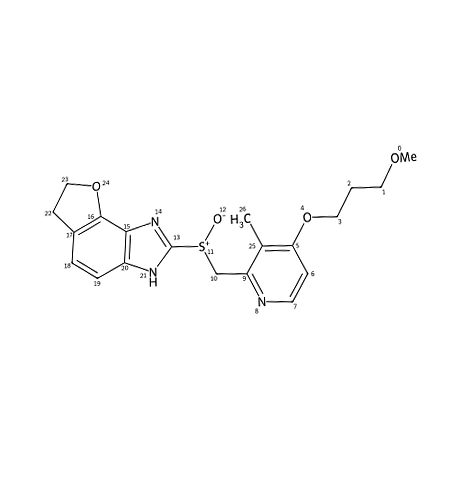 COCCCOc1ccnc(C[S+]([O-])c2nc3c4c(ccc3[nH]2)CCO4)c1C